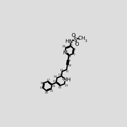 CS(=O)(=O)Nc1ccc(C#CCCC2CC(c3ccccc3)=CCN2)nc1